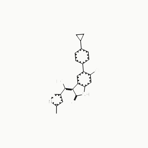 Cc1cc(/C(O)=C2\C(=O)Nc3cc(Cl)c(-c4ccc(C5CC5)cc4)cc32)on1